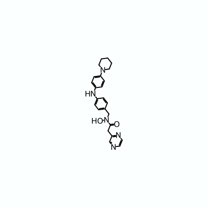 O=C(Cc1cnccn1)N(O)Cc1ccc(Nc2ccc(N3CCCCC3)cc2)cc1